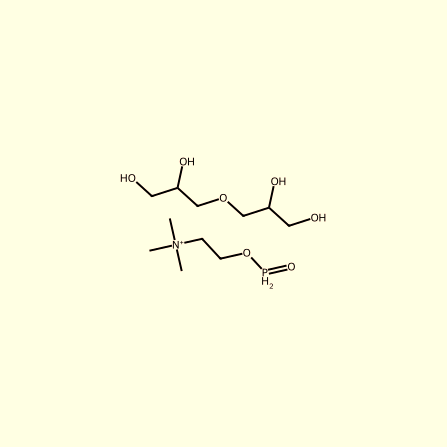 C[N+](C)(C)CCO[PH2]=O.OCC(O)COCC(O)CO